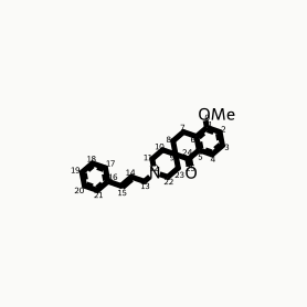 COc1cccc2c1CCC1(CCN(C/C=C/c3ccccc3)CC1)C2=O